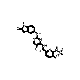 Cc1ccc(CNc2nc(Nc3ccc4c(c3)CC(=O)N4)ncc2C(F)(F)F)nc1N(C)S(C)(=O)=O